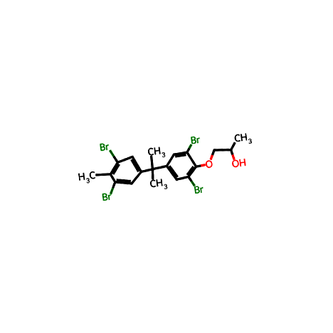 Cc1c(Br)cc(C(C)(C)c2cc(Br)c(OCC(C)O)c(Br)c2)cc1Br